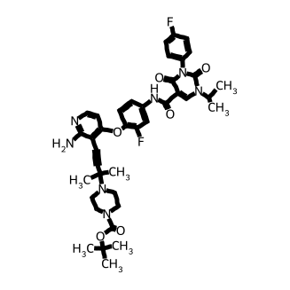 CC(C)n1cc(C(=O)Nc2ccc(Oc3ccnc(N)c3C#CC(C)(C)N3CCN(C(=O)OC(C)(C)C)CC3)c(F)c2)c(=O)n(-c2ccc(F)cc2)c1=O